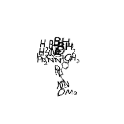 BC(B)(B)N=S1(=O)C[C@@](C)(c2cc(-c3cc(-c4cnc(OC)cn4)no3)ccc2F)N=C(N)C1(C)C